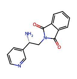 N[C@H](CN1C(=O)c2ccccc2C1=O)c1cccnc1